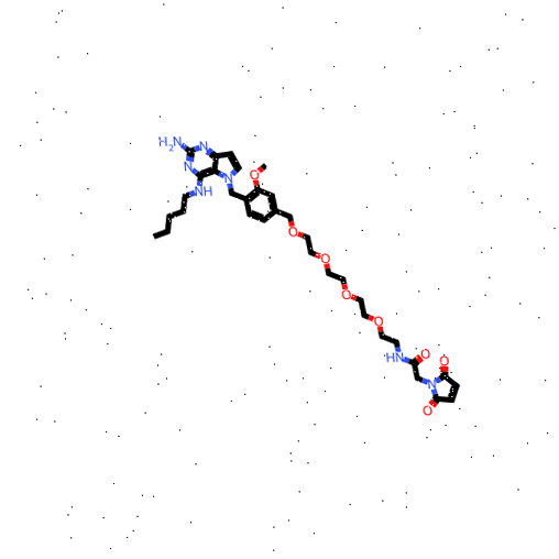 CCCCCNc1nc(N)nc2ccn(Cc3ccc(COCCOCCOCCOCCNC(=O)CN4C(=O)C=CC4=O)cc3OC)c12